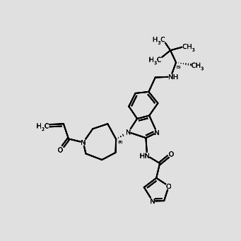 C=CC(=O)N1CCC[C@@H](n2c(NC(=O)c3cnco3)nc3cc(CN[C@@H](C)C(C)(C)C)ccc32)CC1